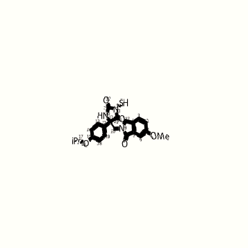 COc1ccc2c(c1)C(=O)N(C[C@@]1(c3ccc(OC(C)C)cc3)NC(=O)N(S)C1=O)C2